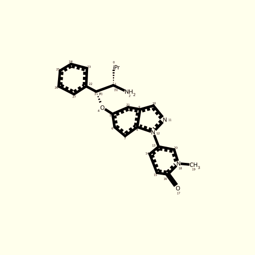 CC(C)[C@H](N)[C@H](Oc1ccc2c(cnn2-c2ccc(=O)n(C)c2)c1)c1ccccc1